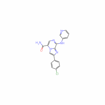 NC(=O)c1cnc(Nc2cccnc2)c2nc(-c3ccc(Cl)cc3)cn12